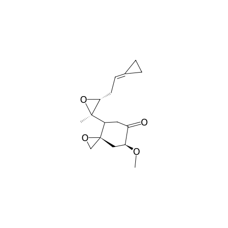 CO[C@H]1C[C@]2(CO2)C([C@@]2(C)O[C@@H]2CC=C2CC2)CC1=O